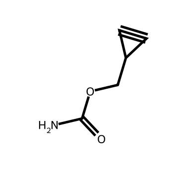 NC(=O)OCC1C#C1